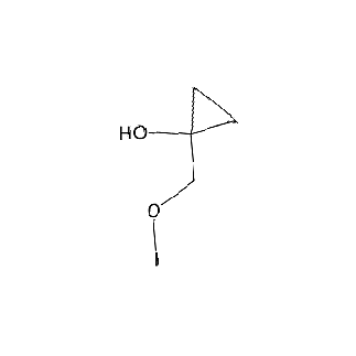 OC1(COI)CC1